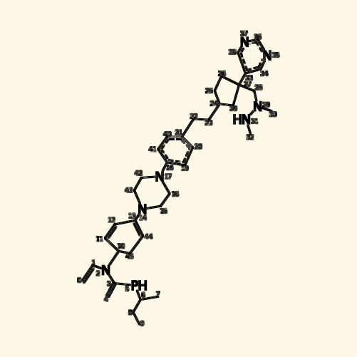 C=CN(C(=C)PC(C)CC)C1C=CC(N2CCN(c3ccc(CCC4CCC(CN(C)NC)(c5cncnc5)C4)cc3)CC2)=CC1